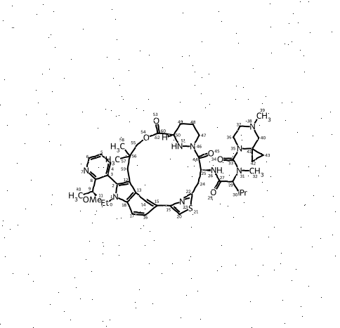 CCn1c(-c2cccnc2[C@H](C)OC)c2c3cc(ccc31)-c1csc(n1)C[C@H](NC(=O)C(C(C)C)N(C)C(=O)N1CCN(C)CC13CC3)C(=O)N1CCC[C@H](N1)C(=O)OCC(C)(C)C2